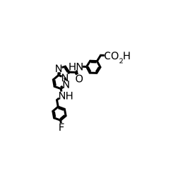 O=C(O)Cc1cccc(NC(=O)c2cnc3ccc(NCc4ccc(F)cc4)nn23)c1